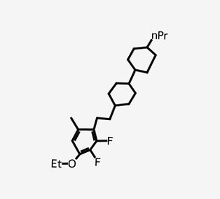 CCCC1CCC(C2CCC(CCc3c(C)cc(OCC)c(F)c3F)CC2)CC1